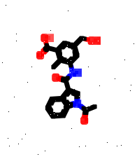 CC(=O)n1cc(C(=O)Nc2cc(CO)cc(C(=O)O)c2C)c2ccccc21